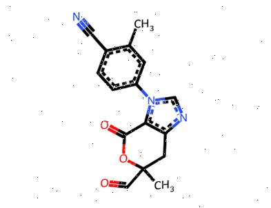 Cc1cc(-n2cnc3c2C(=O)OC(C)(C=O)C3)ccc1C#N